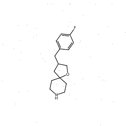 Fc1ccc(CC2COC3(CCNCC3)C2)cc1